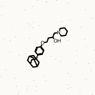 OC(CCOc1ccc(C23CC4CC(CC(C4)C2)C3)cc1)CN1CCCCC1